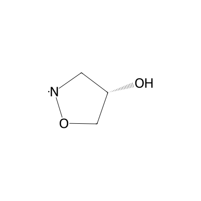 O[C@H]1C[N]OC1